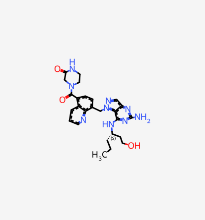 CCC[C@@H](CCO)Nc1nc(N)nc2cnn(Cc3ccc(C(=O)N4CCNC(=O)C4)c4cccnc34)c12